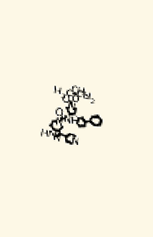 CC(C)(C)OC(=O)N1C[C@H](NC(=O)N2CCc3[nH]nc(-c4ccncc4)c3C2)[C@@H](c2cccc(-c3ccccc3)c2)C1